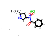 Cl.O.O=C(NC1CNC(C(=O)O)C1)c1ccccc1